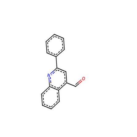 O=Cc1cc(-c2ccccc2)nc2ccccc12